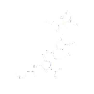 CC(=O)OC1C(COC(C(=O)O)P(=O)(NC(C)C)NC(C)C)OC(n2nnc3c(NC(=O)CCN(C)C)nn(C(N)=O)c3c2=O)C1OC(C)=O